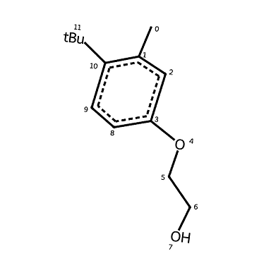 Cc1cc(OCCO)ccc1C(C)(C)C